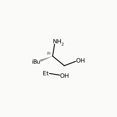 CCC(C)[C@H](N)CO.CCO